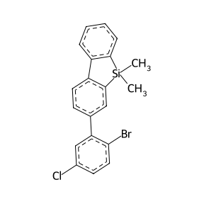 C[Si]1(C)c2ccccc2-c2ccc(-c3cc(Cl)ccc3Br)cc21